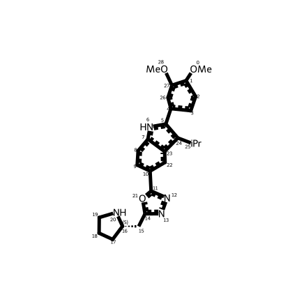 COc1ccc(-c2[nH]c3ccc(-c4nnc(C[C@@H]5CCCN5)o4)cc3c2C(C)C)cc1OC